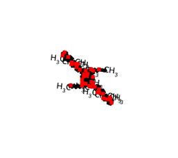 CCCCCCCc1ccc(N(c2c(C)cc(-c3ccc4c(c3)C(C)(C)c3cc(-c5ccc6c(c5)C(C)(C)c5ccccc5-6)ccc3-4)cc2C)c2c3ccccc3c(N(c3ccc(CCCCCCC)cc3)c3c(C)cc(-c4ccc5c(c4)C(C)(C)c4cc(-c6ccc7c(c6)C(C)(C)c6ccccc6-7)ccc4-5)cc3C)c3ccccc23)cc1